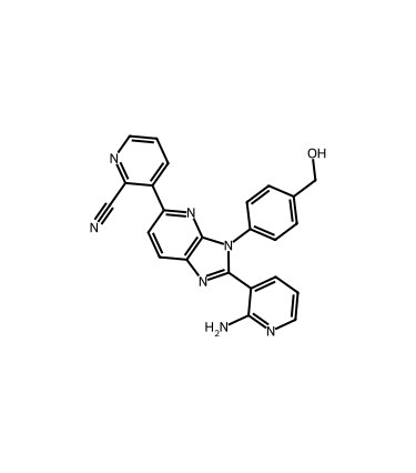 N#Cc1ncccc1-c1ccc2nc(-c3cccnc3N)n(-c3ccc(CO)cc3)c2n1